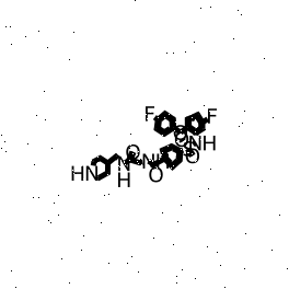 O=C(CNC(=O)c1ccc(S(=O)(=O)Nc2cc(F)ccc2Oc2ccc(F)cc2)cc1)NCC1CCNCC1